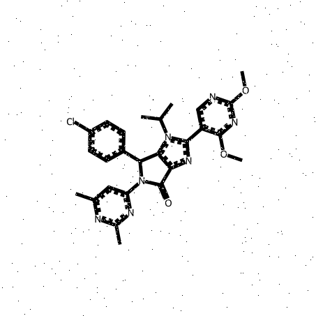 COc1ncc(-c2nc3c(n2C(C)C)C(c2ccc(Cl)cc2)N(c2cc(C)nc(C)n2)C3=O)c(OC)n1